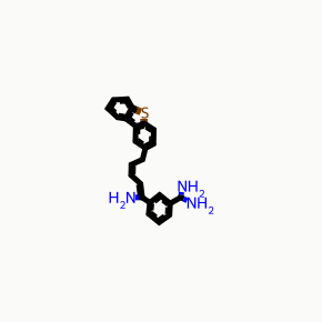 N/C(=C\C=C/Cc1ccc2sc3ccccc3c2c1)c1cccc(C(N)N)c1